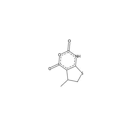 CC1CSc2[nH]c(=O)oc(=O)c21